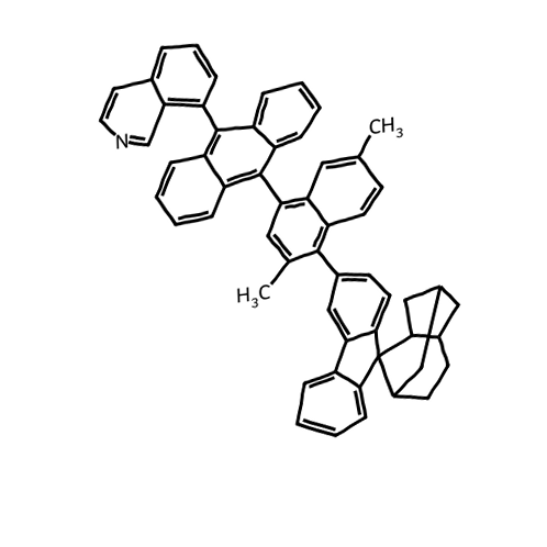 Cc1ccc2c(-c3ccc4c(c3)-c3ccccc3C43C4CCC5CC(C4)CC53)c(C)cc(-c3c4ccccc4c(-c4cccc5ccncc45)c4ccccc34)c2c1